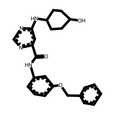 O=C(Nc1cccc(OCc2ccccc2)c1)c1cc(NC2CCC(O)CC2)ncn1